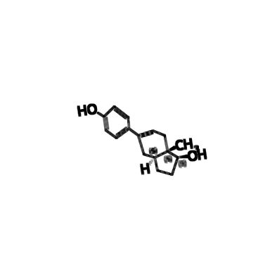 C[C@]12CC=C(c3ccc(O)cc3)C[C@@H]1CC[C@@H]2O